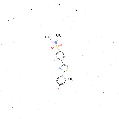 CCN(CC)S(=O)(=O)c1ccc(-c2csc(-c3ccc(Br)cc3C)n2)cc1